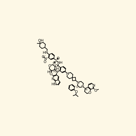 COc1nccc2c1OCC[C@H]2N1CCN(C2CC3(CCN(c4ccc(C(=O)NS(=O)(=O)c5ccc(NCC6CCC(C)(O)CC6)c([N+](=O)[O-])c5)c(N5c6cc7cc[nH]c7nc6O[C@H]6COCC[C@@H]65)c4)CC3)C2)[C@@H](c2ccccc2OC(C)C)C1